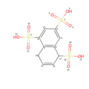 O=S(=O)(O)c1cc2c(c(S(=O)(=O)O)c1)[CH]C=CC2S(=O)(=O)O